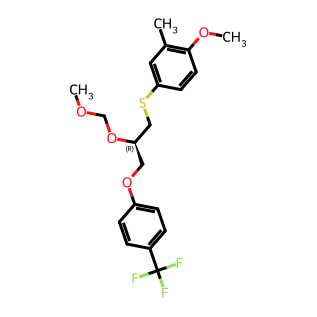 COCO[C@H](COc1ccc(C(F)(F)F)cc1)CSc1ccc(OC)c(C)c1